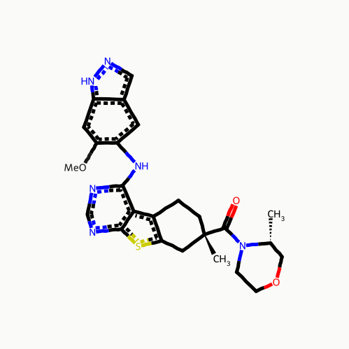 COc1cc2[nH]ncc2cc1Nc1ncnc2sc3c(c12)CC[C@](C)(C(=O)N1CCOC[C@H]1C)C3